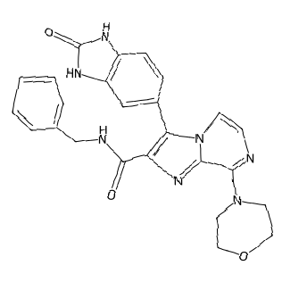 O=C(NCc1ccccc1)c1nc2c(N3CCOCC3)nccn2c1-c1ccc2[nH]c(=O)[nH]c2c1